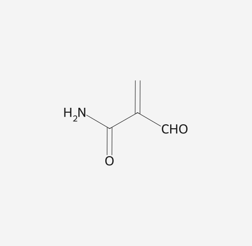 C=C(C=O)C(N)=O